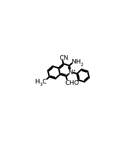 Cc1ccc2c(C#N)c(N)[n+](-c3ccccc3)c(C=O)c2c1